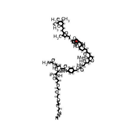 C=C1CC(CC[C@]23C[C@H]4OC5(O2)C2C(OC6CCC(CC(=O)CC7COC(CC(O)CNC(=O)OCc8ccc(NC(=O)[C@H](CCCNC(N)=O)NC(=O)[C@@H](NC(=O)CCOCCOCCOCCOCCN=[N+]=[N-])C(C)C)cc8)[C@@H]7OC)O[C@@H]6C2O3)C45)OC1CCC1C[C@@H](C)C(=C)[C@@H](C)O1